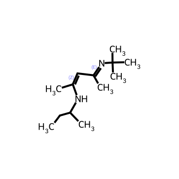 CCC(C)N/C(C)=C\C(C)=N\C(C)(C)C